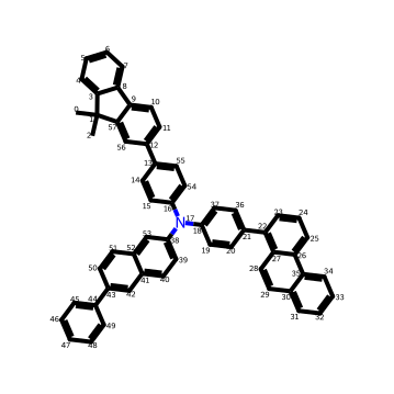 CC1(C)c2ccccc2-c2ccc(-c3ccc(N(c4ccc(-c5cccc6c5ccc5ccccc56)cc4)c4ccc5cc(-c6ccccc6)ccc5c4)cc3)cc21